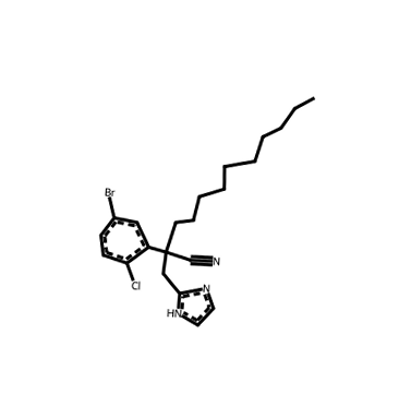 CCCCCCCCCCC(C#N)(Cc1ncc[nH]1)c1cc(Br)ccc1Cl